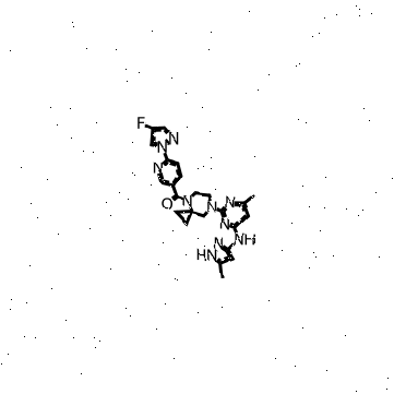 Cc1cc(Nc2cc(C)[nH]n2)nc(N2CCN(C(=O)c3ccc(-n4cc(F)cn4)nc3)C3(CC3)C2)n1